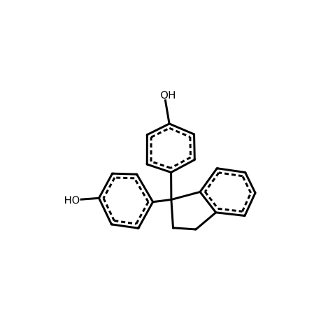 Oc1ccc(C2(c3ccc(O)cc3)CCc3ccccc32)cc1